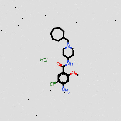 COc1cc(N)c(Cl)cc1C(=O)NC1CCN(CC2CCCCCC2)CC1.Cl